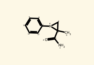 CC1(C(N)=O)CN1c1ccccc1